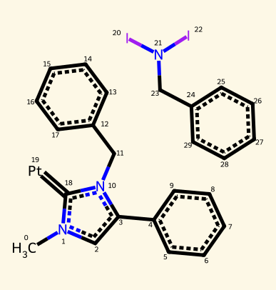 Cn1cc(-c2ccccc2)n(Cc2ccccc2)[c]1=[Pt].IN(I)Cc1ccccc1